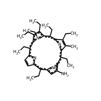 CCC1=C(C)c2nc1c(CC)c1c(CC)c(CC)c(c(CC)c3nc(c(CC)c4cc(N)c([nH]4)c2CC)C=C3)n1CC